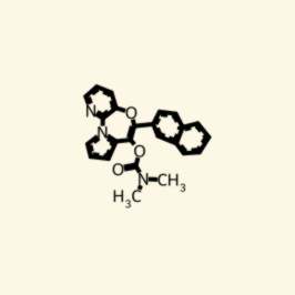 CN(C)C(=O)OC1=C(c2ccc3ccccc3c2)Oc2cccnc2-n2cccc21